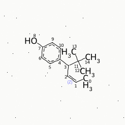 C/C=C\C(c1ccc(O)cc1)C(C)(C)C